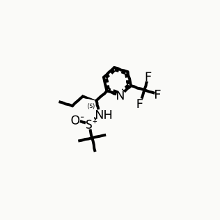 CCC[C@H](N[S+]([O-])C(C)(C)C)c1cccc(C(F)(F)F)n1